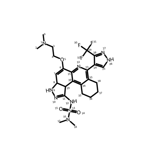 CN(C)CCOC1=CC2NN=C(NS(=O)(=O)N(C)C)C2c2c1nc(-c1c[nH]nc1C(F)(F)F)c1c2CCCC1